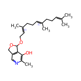 CC(C)=CCC/C(C)=C/CC/C(C)=C/COC1OCc2cnc(C)c(O)c21